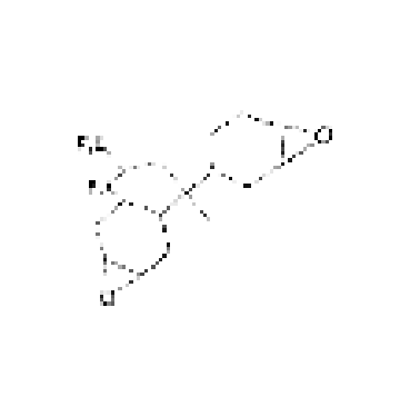 CC(CC(C(F)(F)F)C(F)(F)F)(C1CCC2OC2C1)C1CCC2OC2C1